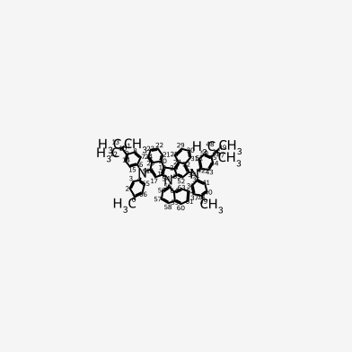 Cc1ccc(N(c2ccc(C(C)(C)C)cc2)c2cc3c(c4ccccc24)c2c4ccccc4c(N(c4ccc(C)cc4)c4ccc(C(C)(C)C)cc4)cc2n3-c2cccc3ccccc23)cc1